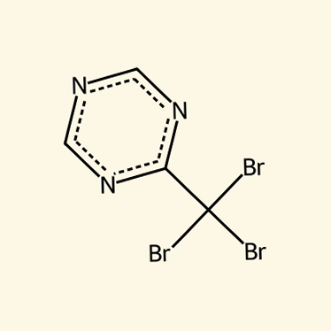 BrC(Br)(Br)c1ncncn1